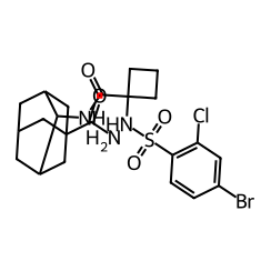 NC(=O)C12CC3CC(C1)C(NC(=O)C1(NS(=O)(=O)c4ccc(Br)cc4Cl)CCC1)C(C3)C2